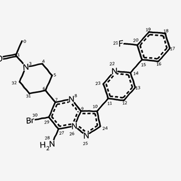 CC(=O)N1CCC(c2nc3c(-c4ccc(-c5ccccc5F)nc4)cnn3c(N)c2Br)CC1